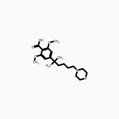 COc1cc(C(C)(C)CCCCN2CCOCC2)cc(OC)c1C(=O)O